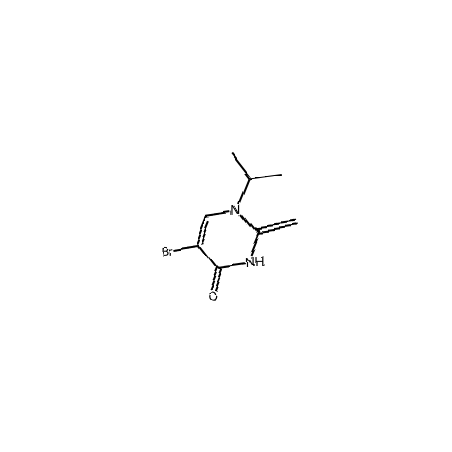 C=C1NC(=O)C(Br)=CN1C(C)C